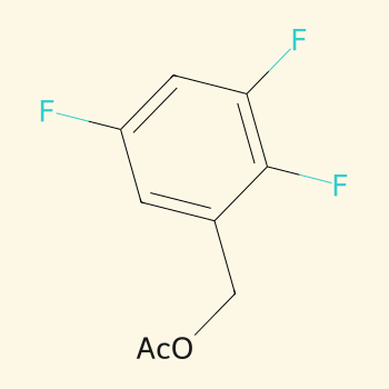 CC(=O)OCc1cc(F)cc(F)c1F